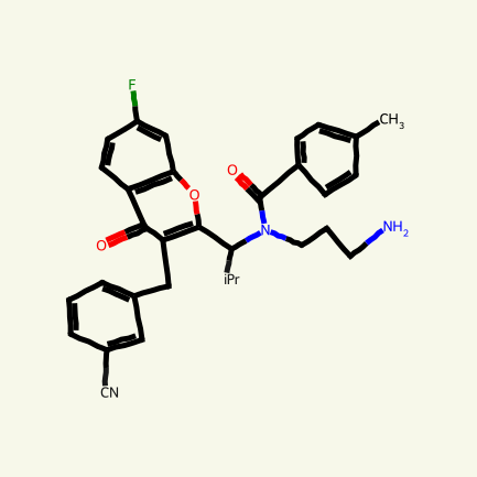 Cc1ccc(C(=O)N(CCCN)C(c2oc3cc(F)ccc3c(=O)c2Cc2cccc(C#N)c2)C(C)C)cc1